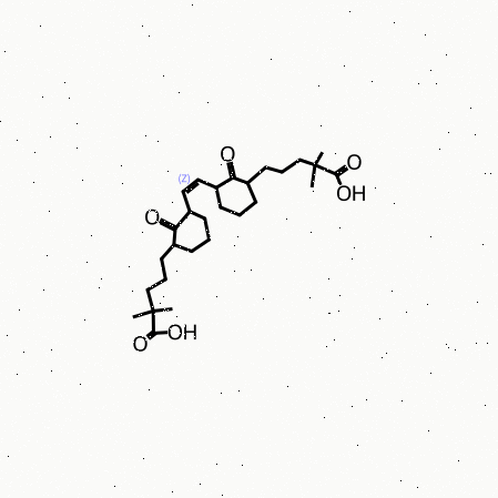 CC(C)(CCCC1CCCC(/C=C\C2CCCC(CCCC(C)(C)C(=O)O)C2=O)C1=O)C(=O)O